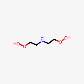 OOCCNCCOO